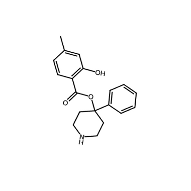 Cc1ccc(C(=O)OC2(c3ccccc3)CCNCC2)c(O)c1